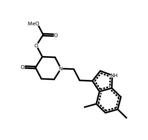 COC(=O)OC1CN(CCc2c[nH]c3cc(C)cc(C)c23)CCC1=O